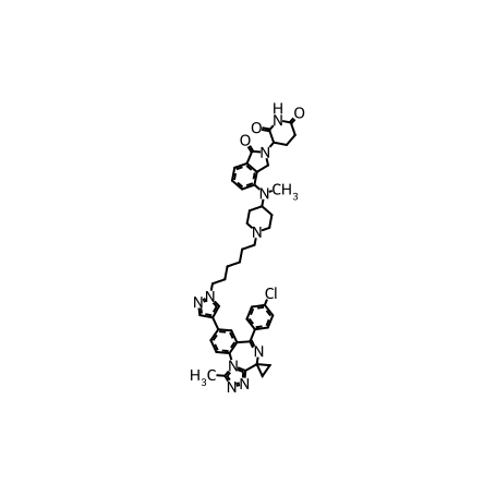 Cc1nnc2n1-c1ccc(-c3cnn(CCCCCCN4CCC(N(C)c5cccc6c5CN(C5CCC(=O)NC5=O)C6=O)CC4)c3)cc1C(c1ccc(Cl)cc1)=NC21CC1